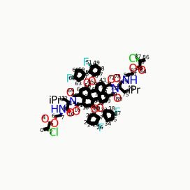 C=C(Cl)C(=O)OCCNC(=O)C(CC(C)C)N1C(=O)c2cc(Oc3cccc(F)c3)c3c4c(Oc5cccc(F)c5)cc5c6c(cc(Oc7cccc(F)c7)c(c7c(Oc8cccc(F)c8)cc(c2c37)C1=O)c64)C(=O)N(C(CC(C)C)C(=O)NCCOC(=O)C(=C)Cl)C5=O